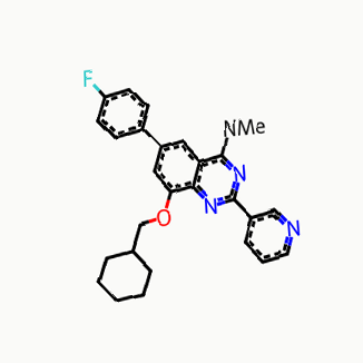 CNc1nc(-c2cccnc2)nc2c(OCC3CCCCC3)cc(-c3ccc(F)cc3)cc12